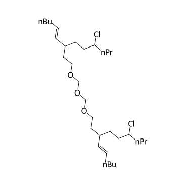 CCCCC=CC(CCOCOCOCCC(C=CCCCC)CCC(Cl)CCC)CCC(Cl)CCC